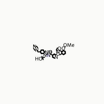 COCOc1cccc(COc2cc(C(=O)/N=c3\[nH]c4ccc(CN5CCN(C)CC5)cc4n3CC(C)(C)O)ccn2)c1C1OCCO1